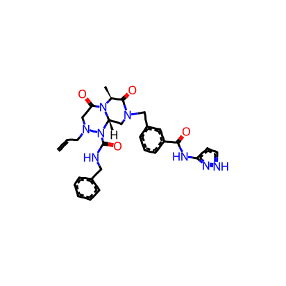 C=CCN1CC(=O)N2[C@@H](C)C(=O)N(Cc3cccc(C(=O)Nc4cc[nH]n4)c3)C[C@@H]2N1C(=O)NCc1ccccc1